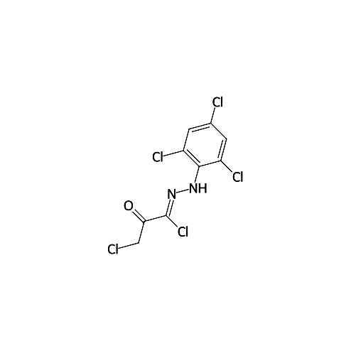 O=C(CCl)C(Cl)=NNc1c(Cl)cc(Cl)cc1Cl